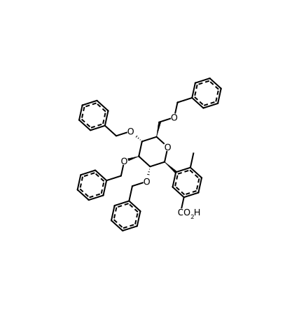 Cc1ccc(C(=O)O)cc1[C@@H]1O[C@H](COCc2ccccc2)[C@@H](OCc2ccccc2)[C@H](OCc2ccccc2)[C@H]1OCc1ccccc1